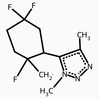 [CH2]C1(F)CCC(F)(F)CC1c1c(C)nnn1C